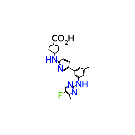 Cc1cc(Nc2ncc(F)c(C)n2)cc(-c2ccc(NC3CCC(C(=O)O)CC3)nc2)c1